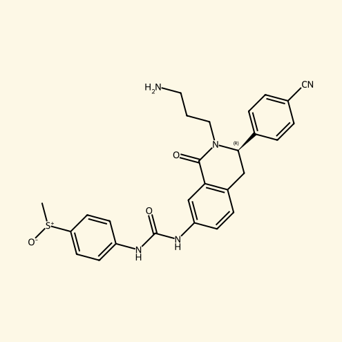 C[S+]([O-])c1ccc(NC(=O)Nc2ccc3c(c2)C(=O)N(CCCN)[C@@H](c2ccc(C#N)cc2)C3)cc1